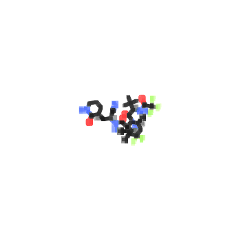 CC(C)(C)[C@@H](NC(=O)C(F)(F)F)C(=O)N1[C@@H]2CC[C@H]([C@@H]1C(=O)N[C@H](C#N)C[C@@H]1CCCNC1=O)C(F)(F)C2